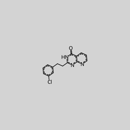 O=c1[nH]c(CCc2cccc(Cl)c2)nc2ncccc12